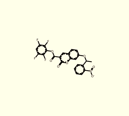 CC(Oc1ccc2cc(C(=O)Oc3c(F)c(F)cc(F)c3F)c(=O)oc2c1)c1ccccc1[N+](=O)[O-]